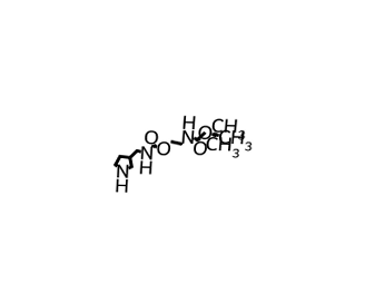 CC(C)(C)OC(=O)NCCOC(=O)NCC1CCNC1